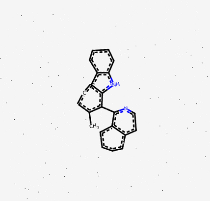 Cc1ccc2c([nH]c3ccccc32)c1-c1nccc2ccccc12